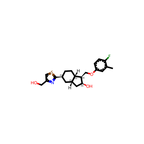 Cc1cc(OC[C@@H]2[C@H]3CC[C@H](c4nc(CO)cs4)C[C@H]3C[C@@H]2O)ccc1F